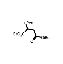 CCCCCC(CC(=O)OCC(C)C)C(=O)OCC